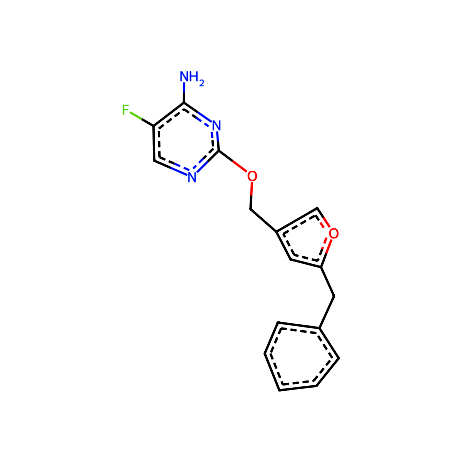 Nc1nc(OCc2coc(Cc3ccccc3)c2)ncc1F